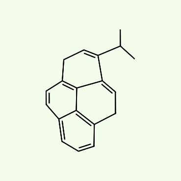 CC(C)C1=CCc2ccc3cccc4c3c2C1=CC4